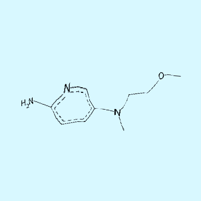 COCCN(C)c1ccc(N)nc1